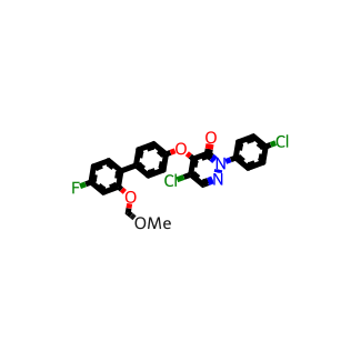 COCOc1cc(F)ccc1-c1ccc(Oc2c(Cl)cnn(-c3ccc(Cl)cc3)c2=O)cc1